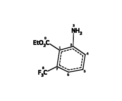 CCOC(=O)c1c(N)cccc1C(F)(F)F